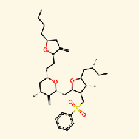 C=C1C[C@H](CCCC)OC1CC[C@H]1C[C@@H](C)C(=C)[C@@H](CC2OC(C[C@H](C)CC)[C@H](C)[C@H]2CS(=O)(=O)c2ccccc2)O1